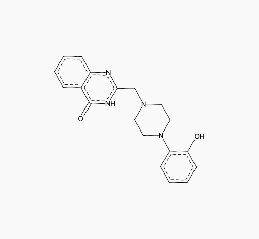 O=c1[nH]c(CN2CCN(c3ccccc3O)CC2)nc2ccccc12